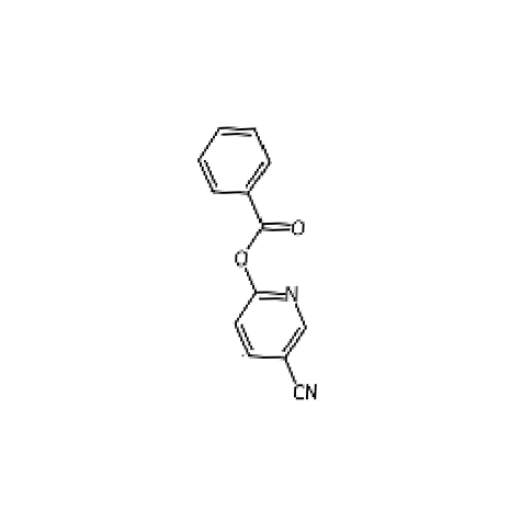 N#Cc1[c]cc(OC(=O)c2ccccc2)nc1